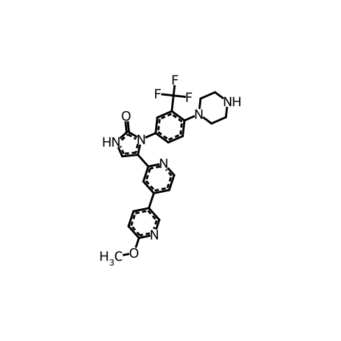 COc1ccc(-c2ccnc(-c3c[nH]c(=O)n3-c3ccc(N4CCNCC4)c(C(F)(F)F)c3)c2)cn1